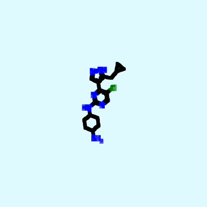 NC1CCC(Nc2ncc(Cl)c(-c3cn[nH]c3CC3CC3)n2)CC1